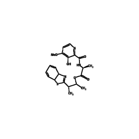 COc1ccnc(C(=O)N[C@@H](C)C(=O)OC(C)C(C)C2=NC3C=CC=CC3S2)c1O